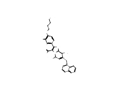 CCCCCOc1ccc(C2=C(C(=O)O)N3C(=C(OC)C(Cc4cccc5ccccc45)=CC3O)S2)cc1C